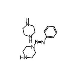 C1CNCCN1.c1ccc(/N=N/N2CCNCC2)cc1